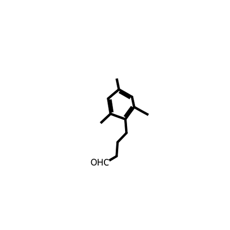 Cc1cc(C)c(CCCC=O)c(C)c1